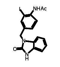 CC(=O)Nc1ccc(Cn2c(=O)[nH]c3ccccc32)cc1I